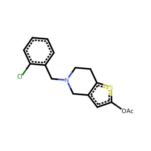 CC(=O)Oc1cc2c(s1)CCN(Cc1ccccc1Cl)C2